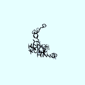 COCCCOc1cc(C[C@@H](C[C@H](NC(=O)OC(C)(C)C)[C@@H](O)C[C@@H](C)C(=O)NCCN2C[C@@H](C)O[C@@H](C)C2)C(C)C)ccc1OC